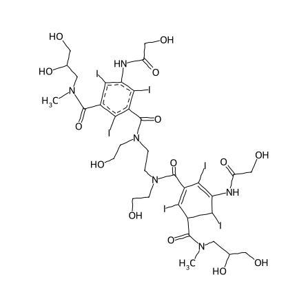 CN(CC(O)CO)C(=O)c1c(I)c(NC(=O)CO)c(I)c(C(=O)N(CCO)CCN(CCO)C(=O)C2=C(I)C(C(=O)N(C)CC(O)CO)C(I)C(NC(=O)CO)=C2I)c1I